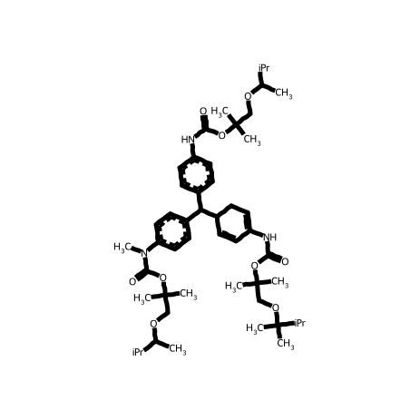 CC(C)C(C)OCC(C)(C)OC(=O)Nc1ccc(C(c2ccc(N(C)C(=O)OC(C)(C)COC(C)C(C)C)cc2)C2C=CC(NC(=O)OC(C)(C)COC(C)(C)C(C)C)=CC2)cc1